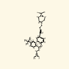 CC(C)N1CCN(CCC#Cc2ccc(OC(CCN(C)C)c3ccc(C(F)(F)F)cc3)cc2)CC1